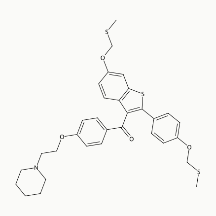 CSCOc1ccc(-c2sc3cc(OCSC)ccc3c2C(=O)c2ccc(OCCN3CCCCC3)cc2)cc1